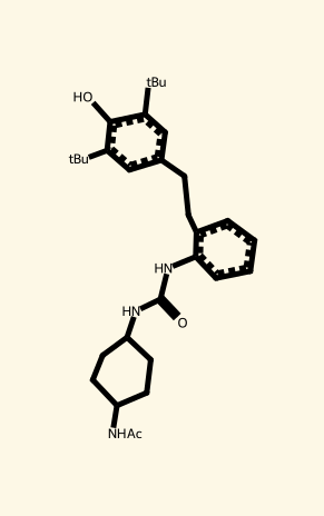 CC(=O)NC1CCC(NC(=O)Nc2ccccc2CCc2cc(C(C)(C)C)c(O)c(C(C)(C)C)c2)CC1